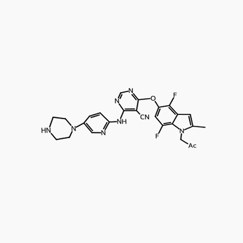 CC(=O)Cn1c(C)cc2c(F)c(Oc3ncnc(Nc4ccc(N5CCNCC5)cn4)c3C#N)cc(F)c21